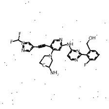 N[C@H]1CCCN(c2cc(Nc3ccnc(-c4c(F)cccc4CO)n3)ncc2C#Cc2cnn(C(F)F)c2)C1